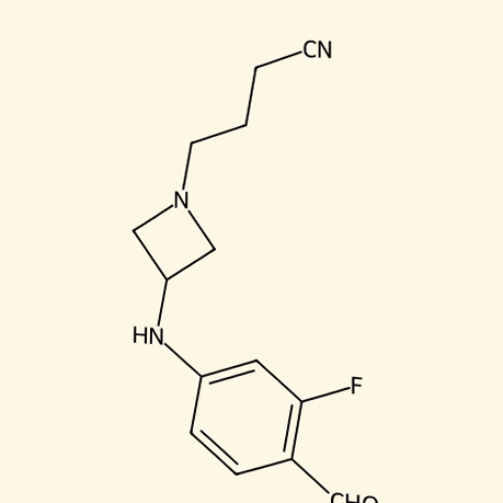 N#CCCCN1CC(Nc2ccc(C=O)c(F)c2)C1